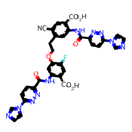 N#Cc1cc(C(=O)O)c(NC(=O)c2ccc(-n3ccnc3)nn2)cc1CCOc1cc(NC(=O)c2ccc(-n3ccnc3)nn2)c(C(=O)O)cc1F